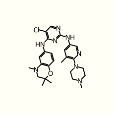 Cc1cc(Nc2ncc(Cl)c(Nc3ccc4c(c3)N(C)CC(C)(C)O4)n2)cnc1N1CCN(C)CC1